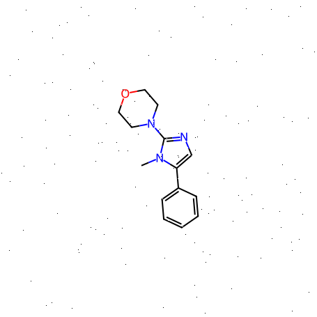 Cn1c(-c2ccccc2)cnc1N1CCOCC1